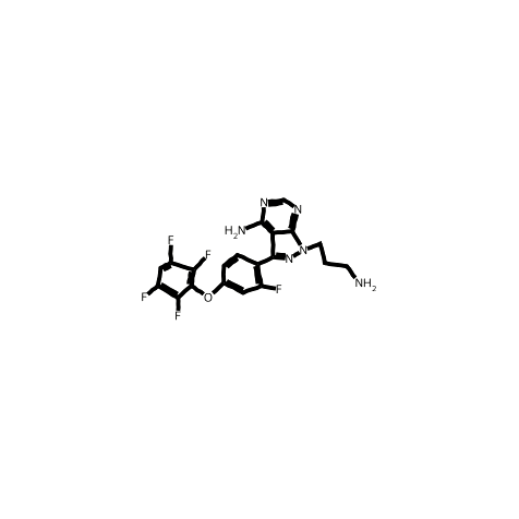 NCCCn1nc(-c2ccc(Oc3c(F)c(F)cc(F)c3F)cc2F)c2c(N)ncnc21